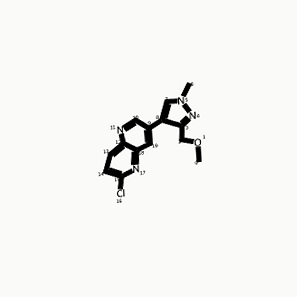 COCc1nn(C)cc1-c1cnc2ccc(Cl)nc2c1